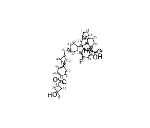 CC1(O)CC(S(=O)(=O)c2ccc(N3CC(CN4CCC([C@@](CN5CCC5)(c5cccc(F)c5)[C@H]5CCC[C@@H]5NC(=O)O)CC4)C3)cc2)C1